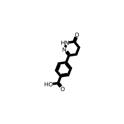 O=C1CCC(c2ccc(C(=O)O)cc2)=NN1